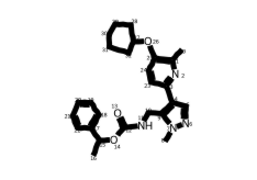 Cc1nc(-c2cnn(C)c2CNC(=O)OC(C)c2ccccc2)ccc1OC1CCCCC1